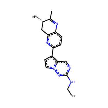 CCC[C@H]1Cc2nc(-c3ccn4nc(NCC(C)C)ncc34)ccc2N=C1C